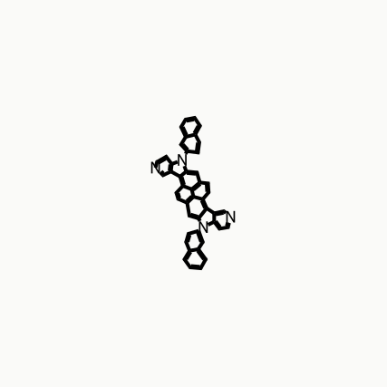 c1ccc2cc(-n3c4ccncc4c4c5ccc6cc7c(c8ccc(cc43)c5c68)c3cnccc3n7-c3ccc4ccccc4c3)ccc2c1